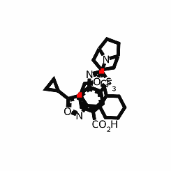 O=C(O)c1ccc2nc(N3C4CCC3CC(OCc3c(C5CCCCC5C(F)(F)F)noc3C3CC3)C4)sc2c1